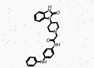 O=C(CN1CCC(n2c(=O)[nH]c3ccccc32)CC1)Nc1ccc(Nc2ccccc2)cc1